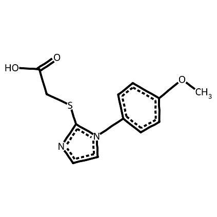 COc1ccc(-n2ccnc2SCC(=O)O)cc1